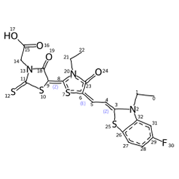 CCN1/C(=C/C=c2/s/c(=C3\SC(=S)N(CC(=O)O)C3=O)n(CC)c2=O)Sc2ccc(F)cc21